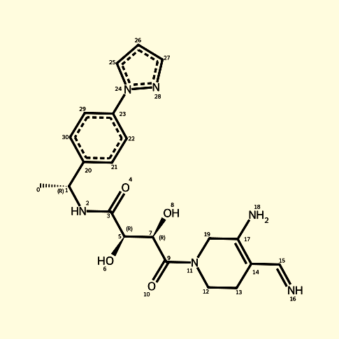 C[C@@H](NC(=O)[C@H](O)[C@@H](O)C(=O)N1CCC(C=N)=C(N)C1)c1ccc(-n2cccn2)cc1